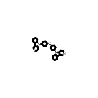 c1ccc2c(c1)c1cnccc1n2-c1ccc(Oc2ccc(-n3c4ccccc4c4cnccc43)cc2)cc1